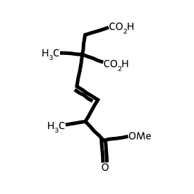 COC(=O)C(C)C=CC(C)(CC(=O)O)C(=O)O